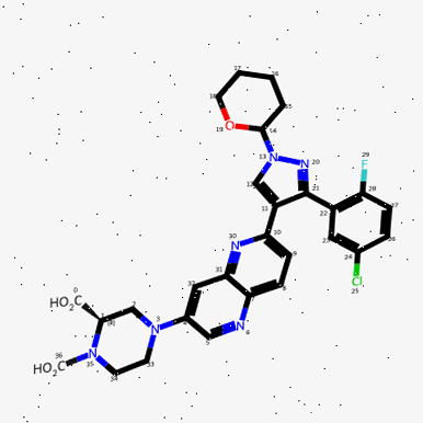 O=C(O)[C@H]1CN(c2cnc3ccc(-c4cn(C5CCCCO5)nc4-c4cc(Cl)ccc4F)nc3c2)CCN1C(=O)O